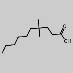 CCCCCCC(C)(C)CCC(=O)O